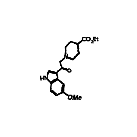 CCOC(=O)C1CCN(CC(=O)c2c[nH]c3ccc(OC)cc23)CC1